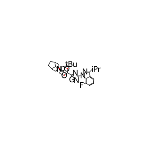 CC(C)c1nn(-c2noc(C3CCN(C4C5CCC4CN(C(=O)OC(C)(C)C)C5)CC3)n2)c2c(F)cccc12